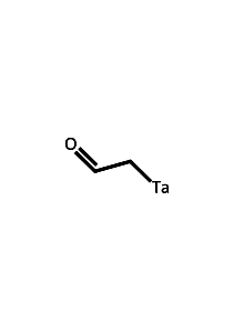 O=C[CH2][Ta]